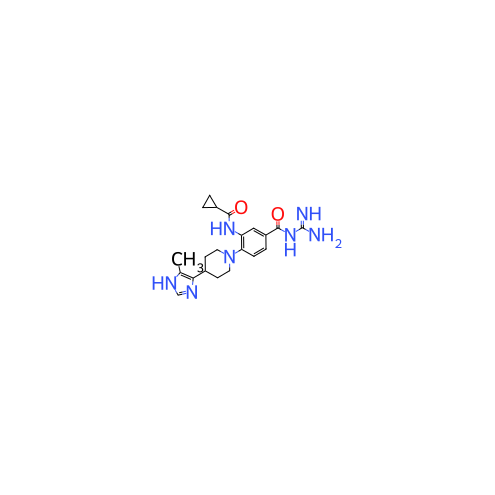 Cc1[nH]cnc1C1CCN(c2ccc(C(=O)NC(=N)N)cc2NC(=O)C2CC2)CC1